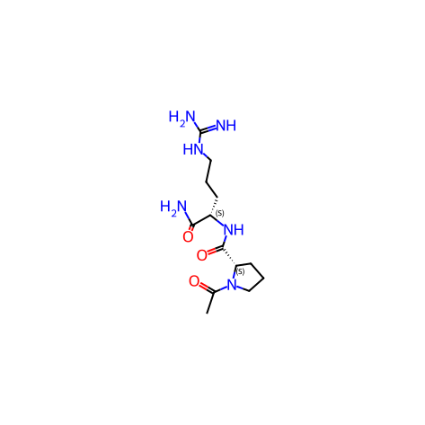 CC(=O)N1CCC[C@H]1C(=O)N[C@@H](CCCNC(=N)N)C(N)=O